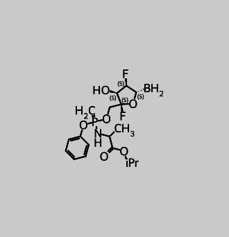 B[C@@H]1O[C@](F)(COP(=C)(NC(C)C(=O)OC(C)C)Oc2ccccc2)[C@@H](O)[C@H]1F